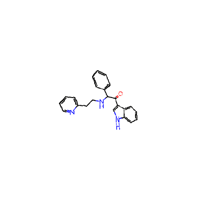 O=C(c1c[nH]c2ccccc12)C(NCCc1ccccn1)c1ccccc1